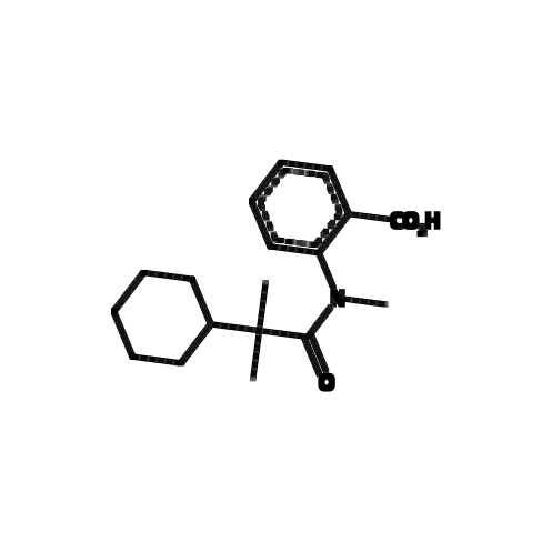 CN(C(=O)C(C)(C)C1CCCCC1)c1ccccc1C(=O)O